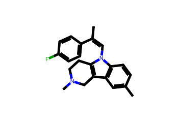 C/C(=C/n1c2c(c3cc(C)ccc31)CN(C)CC2)c1ccc(F)cc1